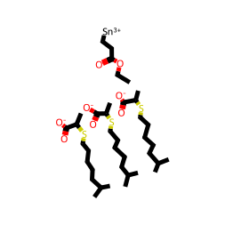 CC(C)CCCCCSC(C)C(=O)[O-].CC(C)CCCCCSC(C)C(=O)[O-].CC(C)CCCCCSC(C)C(=O)[O-].CCOC(=O)C[CH2][Sn+3]